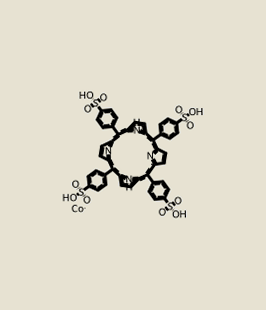 O=S(=O)(O)c1ccc(-c2c3nc(c(-c4ccc(S(=O)(=O)O)cc4)c4ccc([nH]4)c(-c4ccc(S(=O)(=O)O)cc4)c4nc(c(-c5ccc(S(=O)(=O)O)cc5)c5ccc2[nH]5)C=C4)C=C3)cc1.[Co]